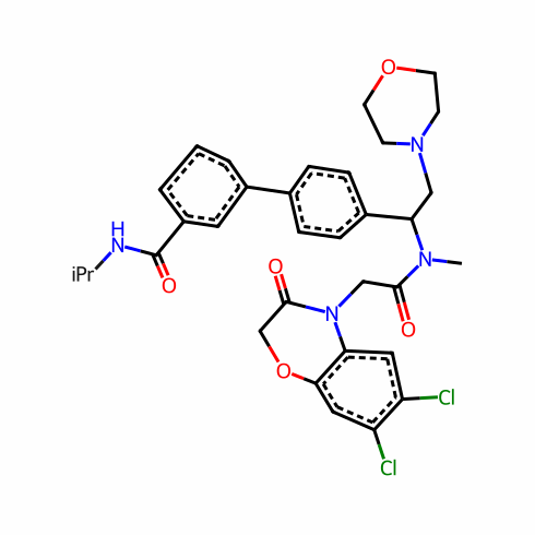 CC(C)NC(=O)c1cccc(-c2ccc(C(CN3CCOCC3)N(C)C(=O)CN3C(=O)COc4cc(Cl)c(Cl)cc43)cc2)c1